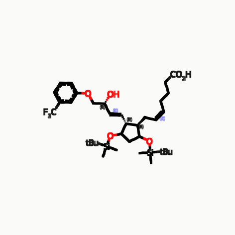 CC(C)(C)[Si](C)(C)OC1CC(O[Si](C)(C)C(C)(C)C)[C@H](C/C=C\CCCC(=O)O)[C@H]1/C=C/[C@@H](O)COc1cccc(C(F)(F)F)c1